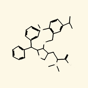 COc1ccc(C(C)C)cc1CNC1C(CC(C(N)=O)N(C)C)CNC1C(c1ccccc1)c1ccccc1